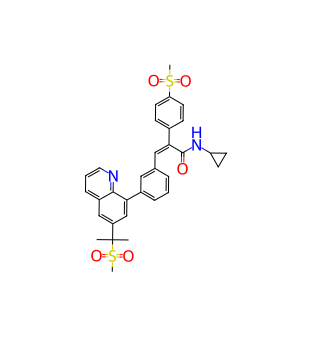 CC(C)(c1cc(-c2cccc(C=C(C(=O)NC3CC3)c3ccc(S(C)(=O)=O)cc3)c2)c2ncccc2c1)S(C)(=O)=O